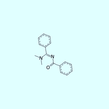 CN(C)C(=NC(=O)c1ccccc1)c1ccccc1